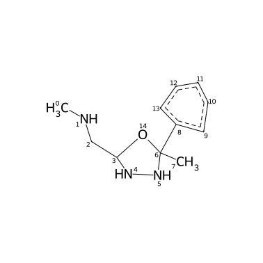 CNCC1NNC(C)(c2ccccc2)O1